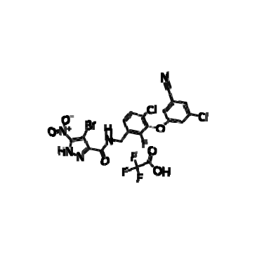 N#Cc1cc(Cl)cc(Oc2c(Cl)ccc(CNC(=O)c3n[nH]c([N+](=O)[O-])c3Br)c2F)c1.O=C(O)C(F)(F)F